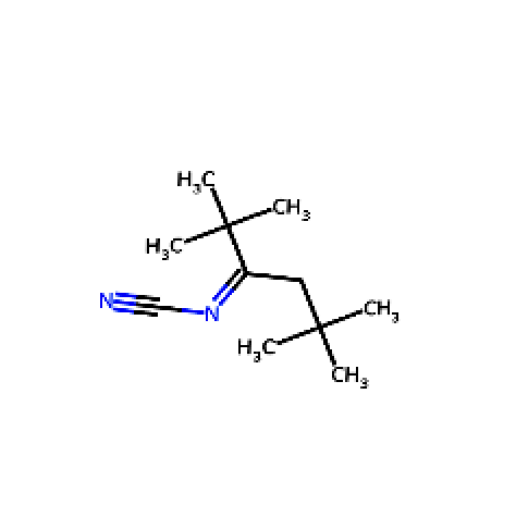 CC(C)(C)C/C(=N/C#N)C(C)(C)C